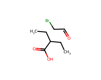 CCC(CC)C(=O)O.O=CCBr